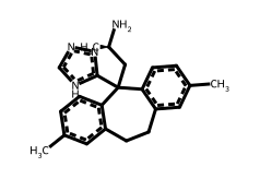 Cc1ccc2c(c1)CCc1cc(C)ccc1C2(C[C@@H](C)N)c1nnc[nH]1